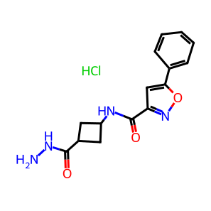 Cl.NNC(=O)C1CC(NC(=O)c2cc(-c3ccccc3)on2)C1